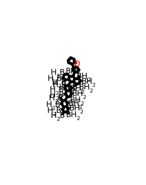 Bc1c(B)c(B)c2c(B)c(-c3c(B)c(B)c4c(B)c(-c5c6c(B)c(B)c(B)c(B)c6c(-c6ccc7oc8ccccc8c7c6)c6c(B)c(B)c(B)c(B)c56)c(B)c(B)c4c3B)c(B)c(B)c2c1B